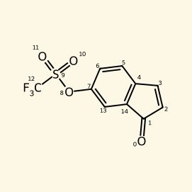 O=C1C=Cc2ccc(OS(=O)(=O)C(F)(F)F)cc21